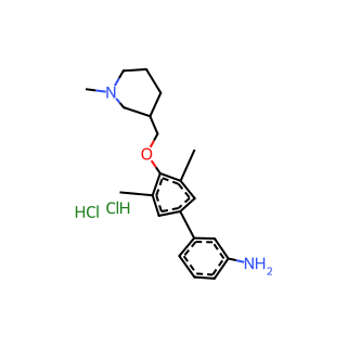 Cc1cc(-c2cccc(N)c2)cc(C)c1OCC1CCCN(C)C1.Cl.Cl